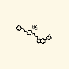 Cl.Cl.c1ccc(CCN2CCN(CCCn3ccc4ccc(-n5cnnc5)cc43)CC2)cc1